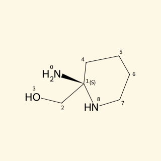 N[C@@]1(CO)CCCCN1